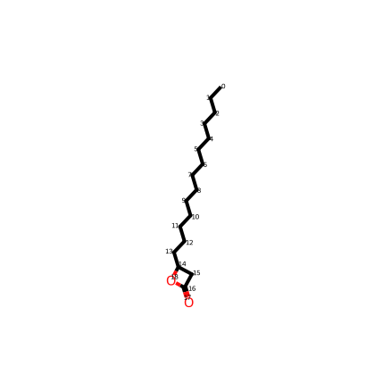 CCCCCCCCCCCCCCC1CC(=O)O1